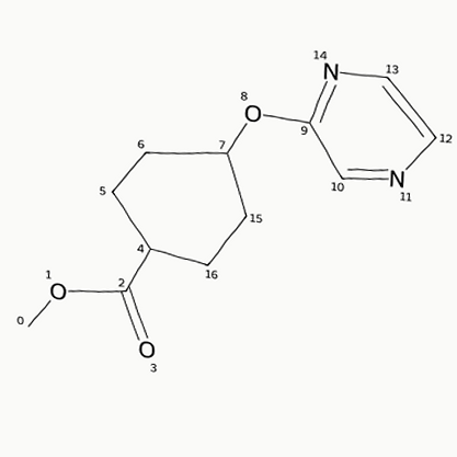 COC(=O)C1CCC(Oc2cnccn2)CC1